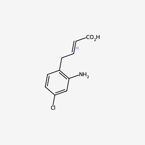 Nc1cc(Cl)ccc1C/C=C/C(=O)O